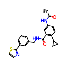 CC(C)C(=O)Nc1ccc(C2CC2)c(C(=O)NCc2cccc(-c3nccs3)c2)c1